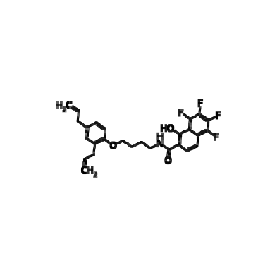 C=CCc1ccc(OCCCCNC(=O)c2ccc3c(F)c(F)c(F)c(F)c3c2O)c(CC=C)c1